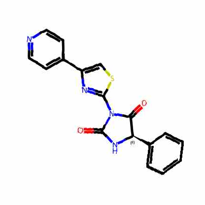 O=C1N[C@H](c2ccccc2)C(=O)N1c1nc(-c2ccncc2)cs1